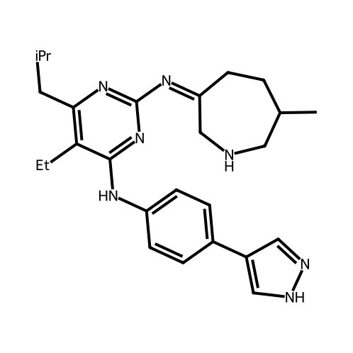 CCc1c(CC(C)C)nc(/N=C2/CCC(C)CNC2)nc1Nc1ccc(-c2cn[nH]c2)cc1